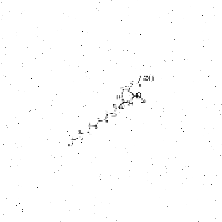 CCCCCCCCCCCCOc1ccc(CCCO)c(OC)c1